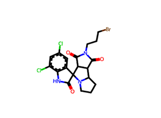 O=C1C2C3CCCN3C3(C(=O)Nc4c(Cl)cc(Cl)cc43)C2C(=O)N1CCCBr